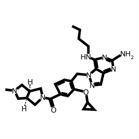 CCCCNc1nc(N)nc2cnn(Cc3ccc(C(=O)N4C[C@H]5CN(C)C[C@H]5C4)cc3OC3CC3)c12